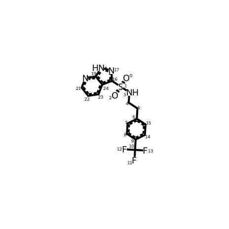 O=S(=O)(NCCc1ccc(C(F)(F)F)cc1)c1n[nH]c2ncccc12